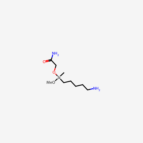 CO[Si](C)(CCCCCN)OCC(N)=O